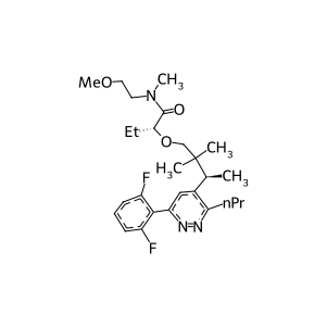 CCCc1nnc(-c2c(F)cccc2F)cc1[C@H](C)C(C)(C)CO[C@H](CC)C(=O)N(C)CCOC